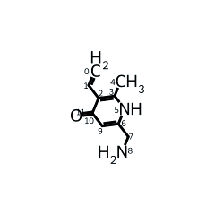 C=Cc1c(C)[nH]c(CN)cc1=O